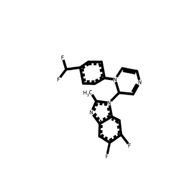 Cc1nc2cc(F)c(F)cc2n1C1C=NC=CN1c1ccc(C(F)F)cc1